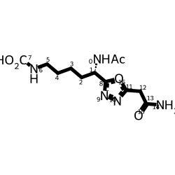 CC(=O)N[C@@H](CCCCNC(=O)O)c1nnc(CC(N)=O)o1